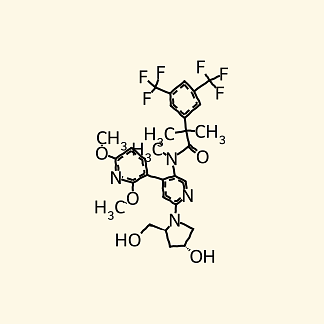 COc1ccc(-c2cc(N3C[C@H](O)C[C@H]3CO)ncc2N(C)C(=O)C(C)(C)c2cc(C(F)(F)F)cc(C(F)(F)F)c2)c(OC)n1